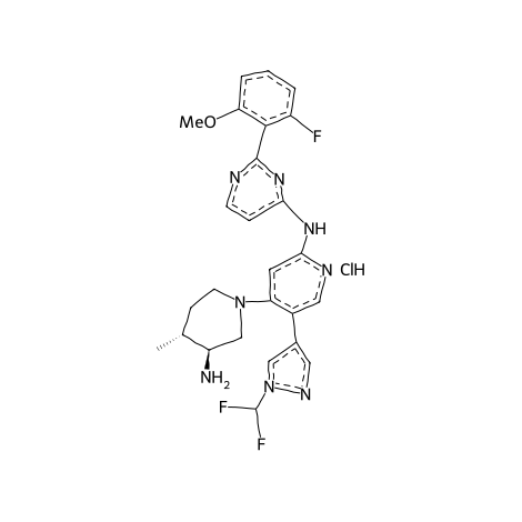 COc1cccc(F)c1-c1nccc(Nc2cc(N3CC[C@@H](C)[C@H](N)C3)c(-c3cnn(C(F)F)c3)cn2)n1.Cl